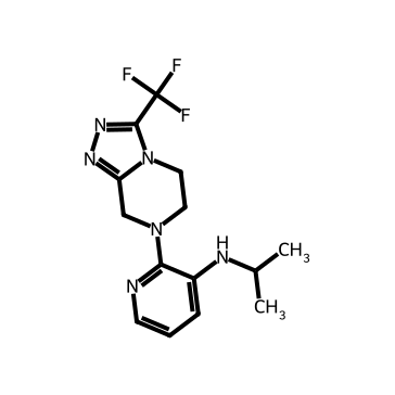 CC(C)Nc1cccnc1N1CCn2c(nnc2C(F)(F)F)C1